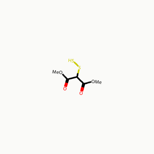 COC(=O)C(SS)C(=O)OC